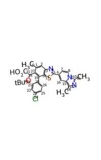 Cc1cc2nc(-c3ccn4c(C)nc(C)c4c3)sc2c(-c2ccc(Cl)cc2)c1C(OC(C)(C)C)C(=O)O